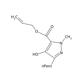 C=CCOC(=O)c1c(O)c(CCCCC)nn1C